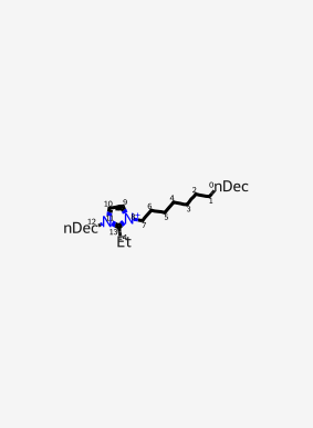 CCCCCCCCCCCCCCCCC[n+]1ccn(CCCCCCCCCC)c1CC